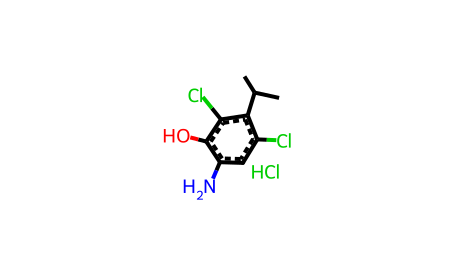 CC(C)c1c(Cl)cc(N)c(O)c1Cl.Cl